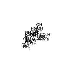 CN[C@@H](CCCCNC(=O)CCC(=O)NC(C(=O)N[C@@H](CCCNC(N)=O)C(=O)Nc1ccc(CO)cc1)C(C)C)C(=O)NC(CCCCN(CC(O)C(O)C(O)CCO)CC(O)C(O)C(O)[C@H](O)CO)C(=O)O